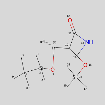 C[C@@H](O[Si](C)(C)C(C)(C)C)C1C(=O)NC1O[Si](C)(C)C